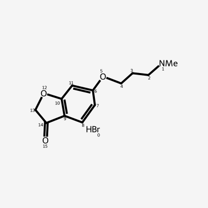 Br.CNCCCOc1ccc2c(c1)OCC2=O